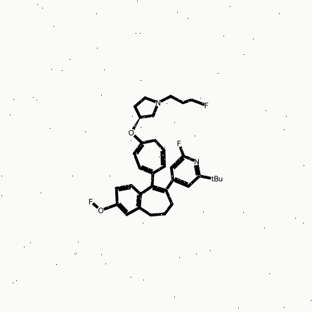 CC(C)(C)c1cc(C2=C(C3=CC=C(O[C@H]4CCN(CCCF)C4)CC=C3)c3ccc(OF)cc3CCC2)cc(F)n1